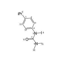 CC(C)c1ccc(N(I)C(=O)N(C)C)cc1